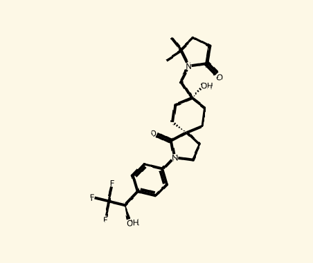 CC1(C)CCC(=O)N1C[C@]1(O)CC[C@@]2(CCN(c3ccc([C@@H](O)C(F)(F)F)cc3)C2=O)CC1